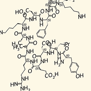 CC[C@H](C)[C@H](NC(=O)[C@H](Cc1ccccc1)NC(=O)[C@H](CC(=O)O)NC(=O)[C@H](CCCCN)NC(=O)[C@H](C)NC(=O)[C@H](C)NC(=O)[C@H](CCCNC(=N)N)NC(=O)[C@H](CCC(=O)O)NC(=O)[C@H](CC(=O)O)NC(=O)[C@H](CC(C)C)NC(=O)[C@@H](N)Cc1ccc(O)cc1)C(=O)N[C@@H](CCCCN)C(=O)O